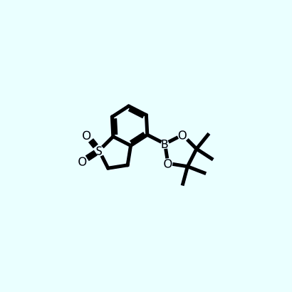 CC1(C)OB(c2cccc3c2CCS3(=O)=O)OC1(C)C